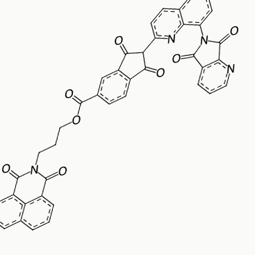 O=C(OCCCN1C(=O)c2cccc3cccc(c23)C1=O)c1ccc2c(c1)C(=O)C(c1ccc3cccc(N4C(=O)c5cccnc5C4=O)c3n1)C2=O